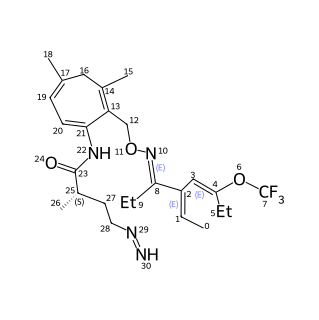 C/C=C(\C=C(/CC)OC(F)(F)F)C(/CC)=N/OCC1=C(C)CC(C)=CC=C1NC(=O)[C@@H](C)CCN=N